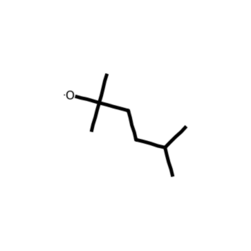 CC(C)CCC(C)(C)[O]